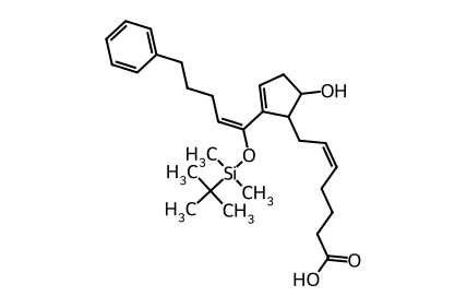 CC(C)(C)[Si](C)(C)O/C(=C/CCCc1ccccc1)C1=CCC(O)C1C/C=C\CCCC(=O)O